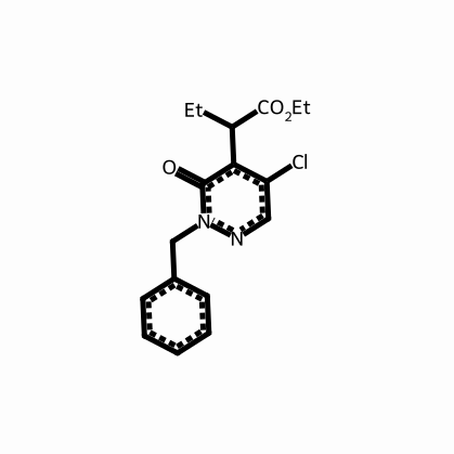 CCOC(=O)C(CC)c1c(Cl)cnn(Cc2ccccc2)c1=O